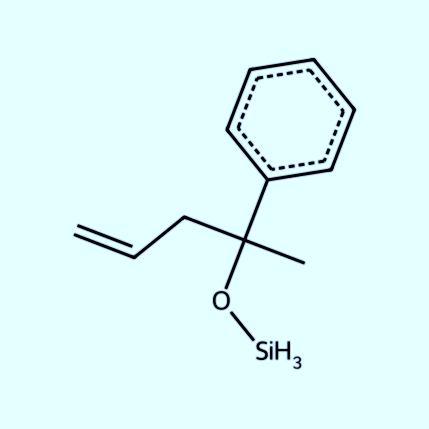 C=CCC(C)(O[SiH3])c1ccccc1